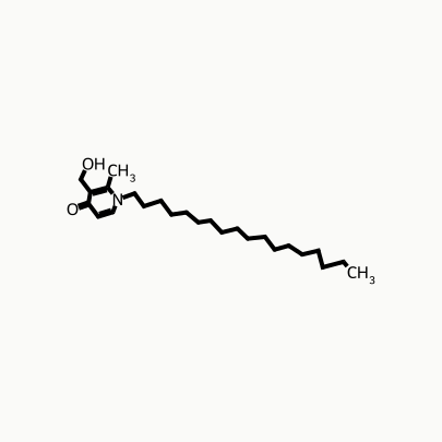 CCCCCCCCCCCCCCCCCCn1ccc(=O)c(CO)c1C